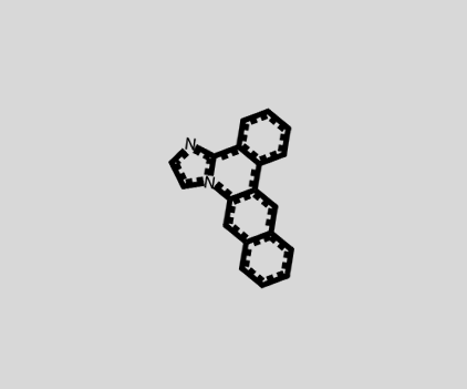 c1ccc2cc3c(cc2c1)c1ccccc1c1nccn31